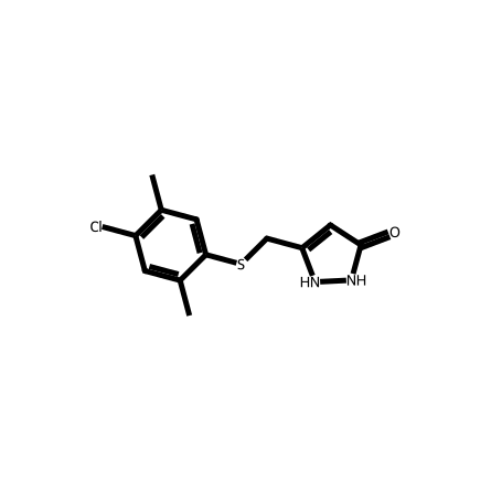 Cc1cc(SCc2cc(=O)[nH][nH]2)c(C)cc1Cl